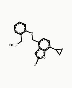 CCOC(=O)Cc1ccccc1OCc1ccc(C2CC2)c2oc(Cl)cc12